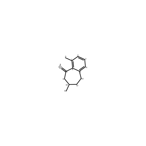 Cc1cccc2c1C(=O)CC(C)CC2